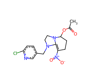 CC(=O)OC1CCC([N+](=O)[O-])=C2N(Cc3ccc(Cl)nc3)CCN21